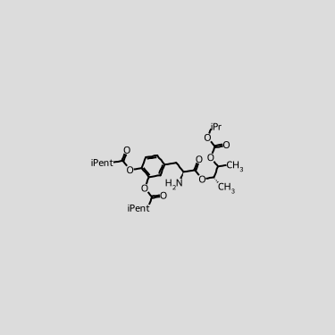 CCCC(C)C(=O)Oc1ccc(C[C@H](N)C(=O)O[C@@H](C)C(C)OC(=O)OC(C)C)cc1OC(=O)C(C)CCC